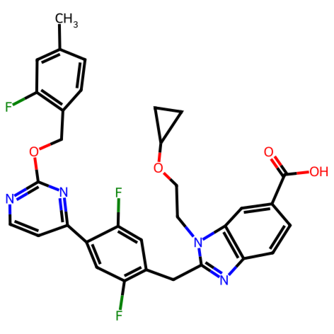 Cc1ccc(COc2nccc(-c3cc(F)c(Cc4nc5ccc(C(=O)O)cc5n4CCOC4CC4)cc3F)n2)c(F)c1